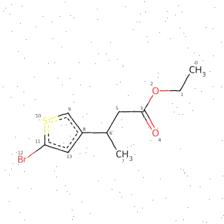 CCOC(=O)CC(C)c1csc(Br)c1